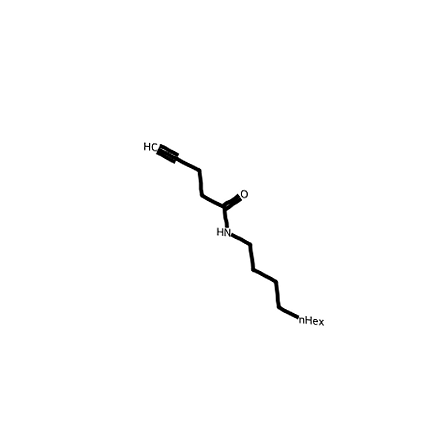 C#CCCC(=O)NCCCCCCCCCC